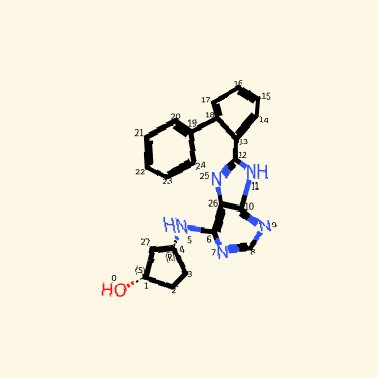 O[C@H]1[CH]C[C@@H](Nc2ncnc3[nH]c(-c4ccccc4-c4ccccc4)nc23)C1